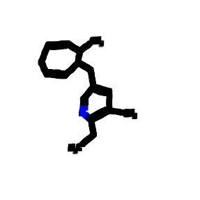 CCc1ncc(CC2C=CCC=CC2C)cc1C